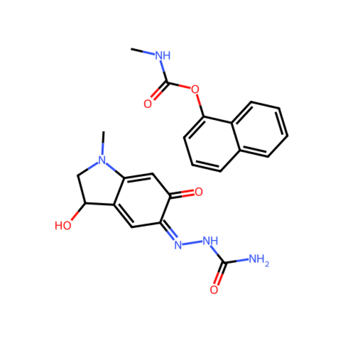 CN1CC(O)C2=C/C(=N/NC(N)=O)C(=O)C=C21.CNC(=O)Oc1cccc2ccccc12